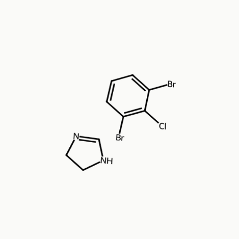 C1=NCCN1.Clc1c(Br)cccc1Br